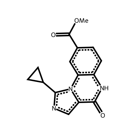 COC(=O)c1ccc2[nH]c(=O)c3cnc(C4CC4)n3c2c1